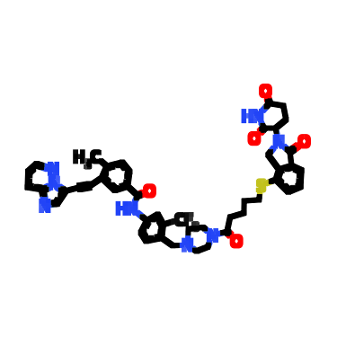 Cc1ccc(C(=O)Nc2ccc(CN3CCN(C(=O)CCCCSc4cccc5c4CN(C4CCC(=O)NC4=O)C5=O)CC3)c(C(F)(F)F)c2)cc1C#Cc1cnc2cccnn12